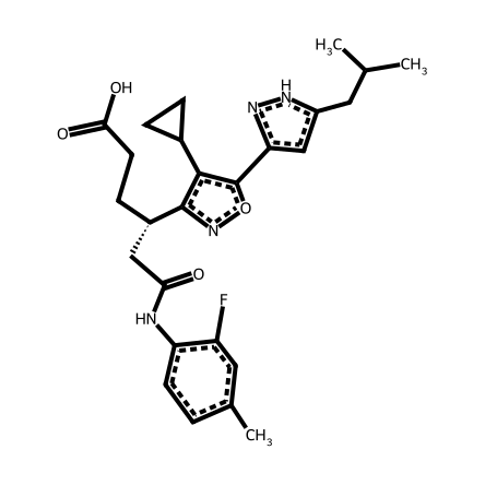 Cc1ccc(NC(=O)C[C@H](CCC(=O)O)c2noc(-c3cc(CC(C)C)[nH]n3)c2C2CC2)c(F)c1